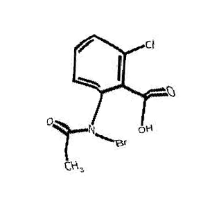 CC(=O)N(Br)c1cccc(Cl)c1C(=O)O